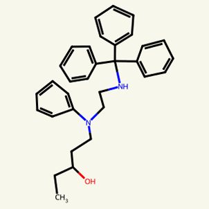 CCC(O)CCN(CCNC(c1ccccc1)(c1ccccc1)c1ccccc1)c1ccccc1